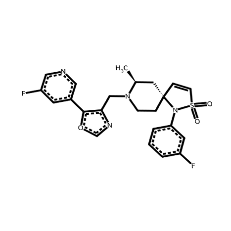 C[C@H]1C[C@@]2(C=CS(=O)(=O)N2c2cccc(F)c2)CCN1Cc1ncoc1-c1cncc(F)c1